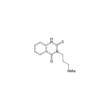 CNCCCn1c(=S)[nH]c2ccccc2c1=O